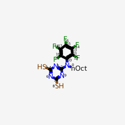 CCCCCCCCN(c1nc(S)nc(S)n1)c1c(F)c(F)c(F)c(F)c1F